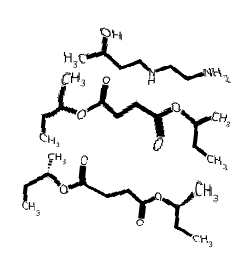 CC(O)CCNCCN.CCC(C)OC(=O)CCC(=O)OC(C)CC.CC[C@H](C)OC(=O)CCC(=O)O[C@@H](C)CC